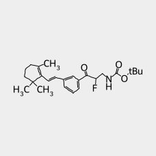 CC1=C(/C=C/c2cccc(C(=O)C(F)CNC(=O)OC(C)(C)C)c2)C(C)(C)CCC1